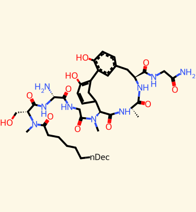 CCCCCCCCCCCCCCCC(=O)N(C)[C@H](CO)C(=O)N[C@H](N)C(=O)NCC(=O)N(C)[C@@H]1C(=O)N[C@@H](C)C(=O)N[C@H](C(=O)NCC(N)=O)Cc2ccc(O)c(c2)C2=C(O)C=CC1C2